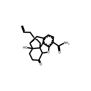 C=CCN1CCC23c4c5ccc(C(N)=O)c4OC2C(=O)CCC3(O)C1C5